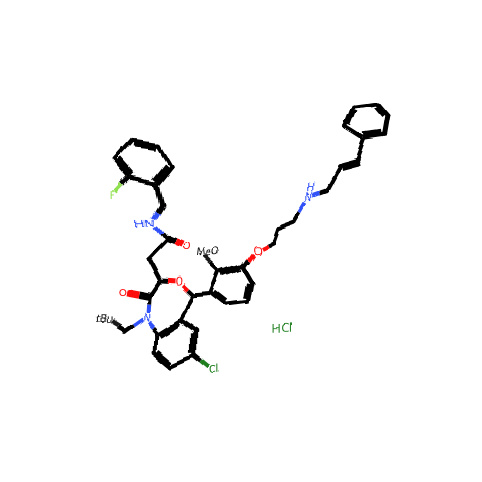 COc1c(OCCCNCC=Cc2ccccc2)cccc1C1OC(CC(=O)NCc2ccccc2F)C(=O)N(CC(C)(C)C)c2ccc(Cl)cc21.Cl